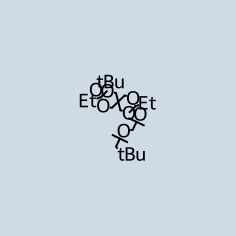 CCC1(OC(C)(C)C)OCC2(CO1)COC(CC)(OC(C)(C)COC(C)(C)CC(C)(C)C)OC2